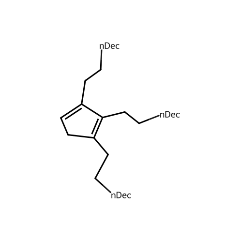 CCCCCCCCCCCCC1=CCC(CCCCCCCCCCCC)=C1CCCCCCCCCCCC